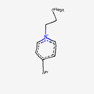 CCCCCCCCC[n+]1ccc(CCC)cc1